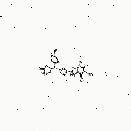 CCCn1c(=O)c2[nH]c(-c3cnn(C(c4ccc(C(C)C)cc4)C4CNC(=O)C4)c3)nc2n(CCC)c1=O